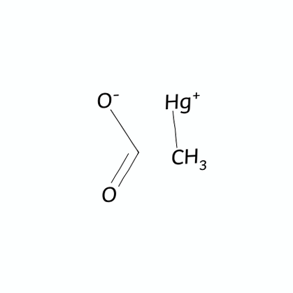 O=C[O-].[CH3][Hg+]